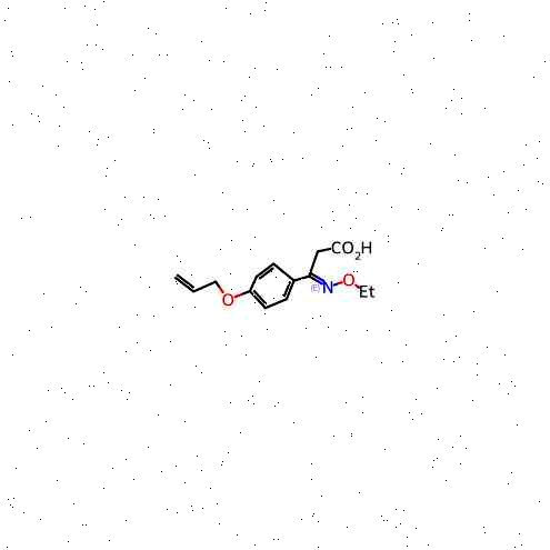 C=CCOc1ccc(/C(CC(=O)O)=N/OCC)cc1